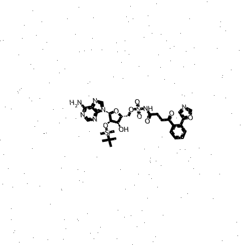 CC(C)(C)[Si](C)(C)O[C@@H]1[C@H](O)[C@@H](COS(=O)(=O)NC(=O)CCC(=O)c2ccccc2-c2cnco2)O[C@H]1n1cnc2c(N)ncnc21